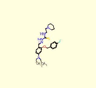 CCN(CC)c1ccc(/C=N/NC(=S)NCCN2CCCCC2)c(OCc2ccc(F)cc2)c1